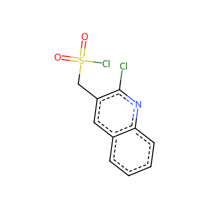 O=S(=O)(Cl)Cc1cc2ccccc2nc1Cl